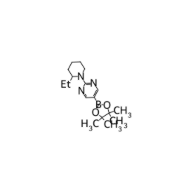 CCC1CCCCN1c1ncc(B2OC(C)(C)C(C)(C)O2)cn1